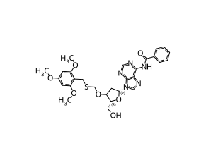 COc1cc(OC)c(CSCOC2C[C@H](n3cnc4c(NC(=O)c5ccccc5)ncnc43)O[C@@H]2CO)c(OC)c1